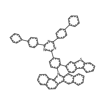 c1ccc(-c2ccc(-c3nc(-c4ccc(-c5ccccc5)cc4)nc(-c4ccc(-n5c6cc7ccccc7cc6c6ccc7ccccc7c65)c(-c5ccc6c(c5)sc5ccccc56)c4)n3)cc2)cc1